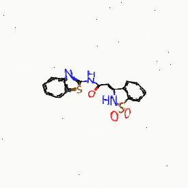 O=C(C=C1NS(=O)(=O)c2ccccc21)Nc1nc2ccccc2s1